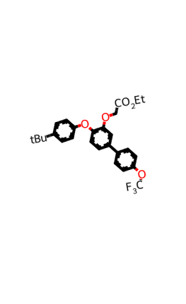 CCOC(=O)COc1cc(-c2ccc(OC(F)(F)F)cc2)ccc1Oc1ccc(C(C)(C)C)cc1